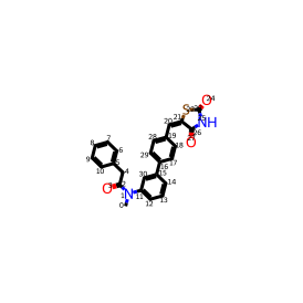 CN(C(=O)Cc1ccccc1)c1cccc(-c2ccc(C=C3SC(=O)NC3=O)cc2)c1